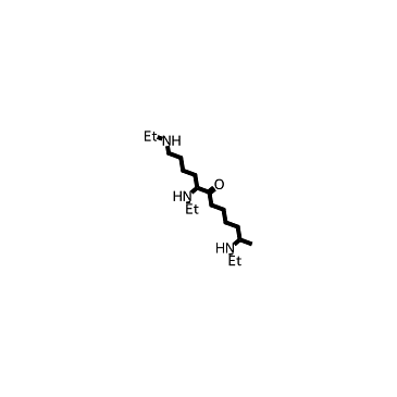 CCNCCCCC(NCC)C(=O)CCCCC(C)NCC